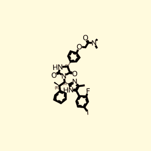 Cc1nc([C@H]([C@H](C)c2ccccc2)N2C(=O)N[C@H](c3ccc(OCC(=O)N(C)C)cc3)C2=O)[nH]c1-c1ccc(I)cc1F